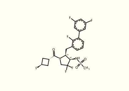 CS(=O)(=O)N[C@@H]1[C@H](Cc2cccc(-c3cc(F)cc(F)c3)c2F)N(C(=O)[C@H]2C[C@H](F)C2)CC1(F)F